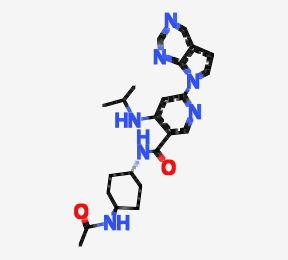 CC(=O)N[C@H]1CC[C@H](NC(=O)c2cnc(-n3ccc4cncnc43)cc2NC(C)C)CC1